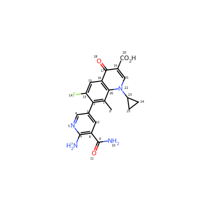 Cc1c(-c2cnc(N)c(C(N)=O)c2)c(F)cc2c(=O)c(C(=O)O)cn(C3CC3)c12